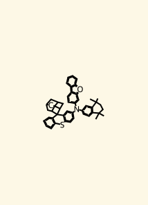 CC1(C)CCC(C)(C)c2cc(N(c3ccc4c(c3)C3(c5ccccc5S4)C4CC5CC6CC3C64C5)c3ccc4c(c3)oc3ccccc34)ccc21